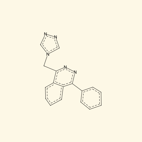 c1ccc(-c2nnc(Cn3cnnc3)c3ccccc23)cc1